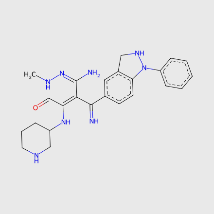 CN/N=C(N)\C(C(=N)c1ccc2c(c1)CNN2c1ccccc1)=C(/C=O)NC1CCCNC1